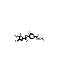 COC(=O)N1CC[C@@H](NC(=O)c2cc(Cl)c(C)[nH]2)[C@@H](C)C1